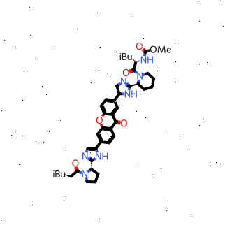 CC[C@H](C)CC(=O)N1CCC[C@H]1c1ncc(-c2ccc3c(=O)c4cc(C5CN=C([C@@H]6CCCCN6C(=O)[C@@H](NC(=O)OC)[C@@H](C)CC)N5)ccc4oc3c2)[nH]1